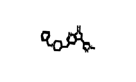 Cn1cc(C2CNc3ncc(CC4CCN(Cc5ccccc5)CC4)cc32)cn1